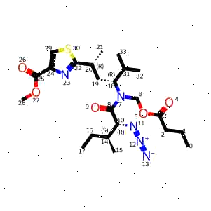 CCCC(=O)OCN(C(=O)[C@H](N=[N+]=[N-])[C@@H](C)CC)[C@H](C[C@@H](C)c1nc(C(=O)OC)cs1)C(C)C